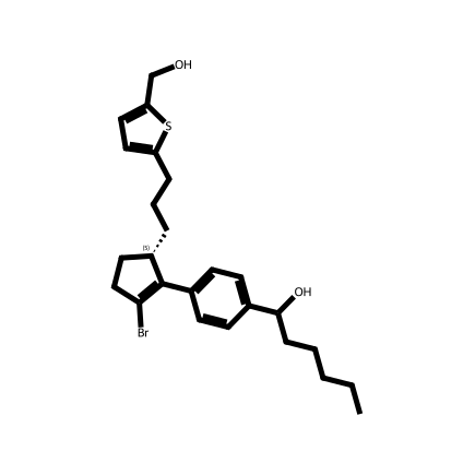 CCCCCC(O)c1ccc(C2=C(Br)CC[C@@H]2CCCc2ccc(CO)s2)cc1